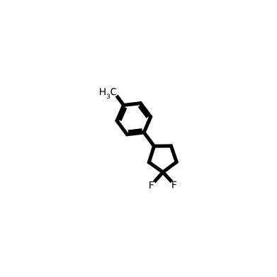 Cc1ccc(C2CCC(F)(F)C2)cc1